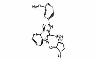 COc1cccc(-c2nc3c4ncccc4nc(N[C@H]4CCNC4=O)n3n2)c1